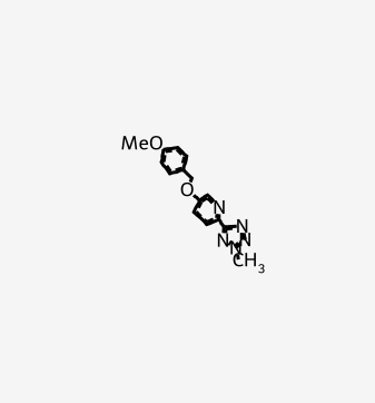 COc1ccc(COc2ccc(-c3nnn(C)n3)nc2)cc1